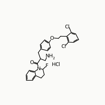 Cl.NCC(Cc1ccc(OCCc2c(Cl)cccc2Cl)cc1)C(=O)N1c2ccccc2CCC1F